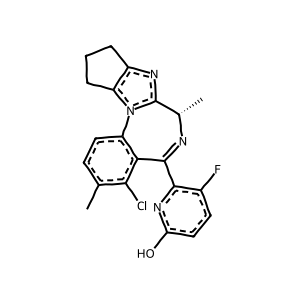 Cc1ccc2c(c1Cl)C(c1nc(O)ccc1F)=N[C@@H](C)c1nc3c(n1-2)CCC3